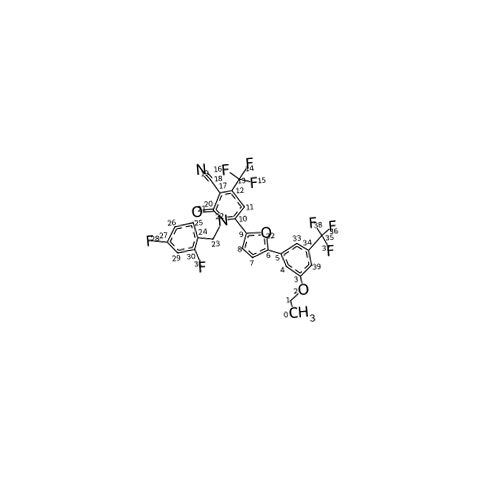 CCOc1cc(-c2ccc(-c3cc(C(F)(F)F)c(C#N)c(=O)n3Cc3ccc(F)cc3F)o2)cc(C(F)(F)F)c1